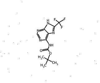 CC(C)(C)OC(=O)Nc1ncnc2[nH]c(C(F)(F)F)nc12